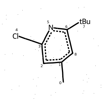 Cc1cc(Cl)nc(C(C)(C)C)c1